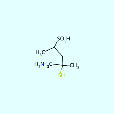 CC(CC(C)(C)S)S(=O)(=O)O.N